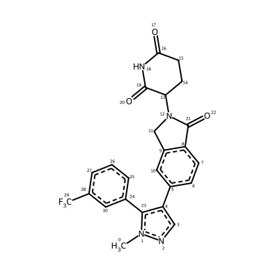 Cn1ncc(-c2ccc3c(c2)CN(C2CCC(=O)NC2=O)C3=O)c1-c1cccc(C(F)(F)F)c1